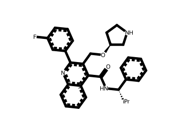 CC(C)[C@H](NC(=O)c1c(CO[C@H]2CCNC2)c(-c2cccc(F)c2)nc2ccccc12)c1ccccc1